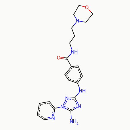 Nc1nc(Nc2ccc(C(=O)NCCCN3CCOCC3)cc2)nn1-c1ccccn1